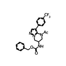 CC(=O)N1CC(NC(=O)OCc2ccccc2)Cn2ncc(-c3ccc(C(F)(F)F)cc3)c21